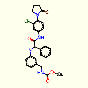 CC(C)(C)OC(=O)NCc1cccc(NC(C(=O)Nc2ccc(N3CCCC3=S)c(Cl)c2)c2ccccc2)c1